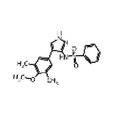 COc1c(C)cc(-c2c[nH]nc2NS(=O)(=O)c2ccccc2)cc1C